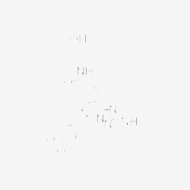 Nc1nc2c3ccc(C(=O)NCCCO)cc3nc(Cc3ccc4c(c3)OCO4)n2n1